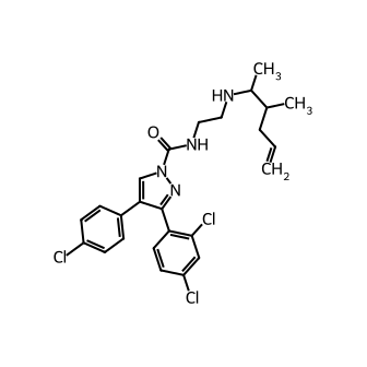 C=CCC(C)C(C)NCCNC(=O)n1cc(-c2ccc(Cl)cc2)c(-c2ccc(Cl)cc2Cl)n1